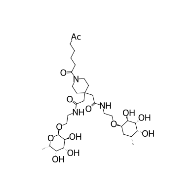 CC(=O)CCCCC(=O)N1CCC(CC(=O)NCCO[C@@H]2O[C@@H](C)[C@@H](O)[C@@H](O)[C@@H]2O)(CC(=O)NCCO[C@@H]2C[C@@H](C)[C@@H](O)[C@@H](O)[C@@H]2O)CC1